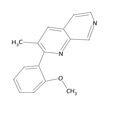 COc1ccccc1-c1nc2cnccc2cc1C